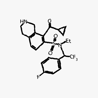 CCN(C(c1ccc(F)cc1)C(F)(F)F)S(=O)(=O)c1ccc2c(c1C(=O)C1CC1)CNCC2